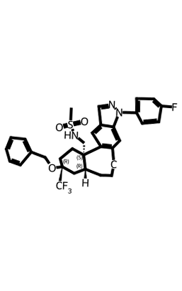 CS(=O)(=O)NC[C@@]12CC[C@](OCc3ccccc3)(C(F)(F)F)C[C@H]1CCCc1cc3c(cnn3-c3ccc(F)cc3)cc12